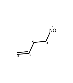 C=CCCN=O